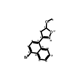 COC1CC(c2ccc(Br)c3ccccc23)=NO1